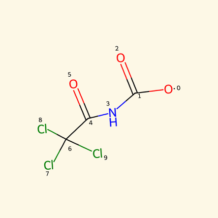 [O]C(=O)NC(=O)C(Cl)(Cl)Cl